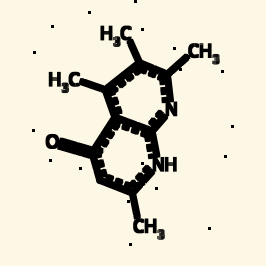 Cc1cc(=O)c2c(C)c(C)c(C)nc2[nH]1